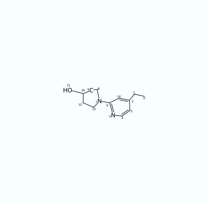 CCc1ccnc(N2CCC(O)CC2)c1